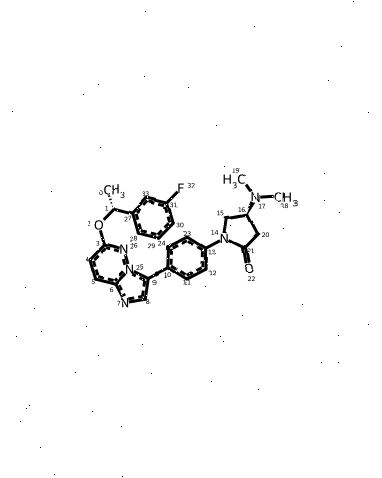 C[C@@H](Oc1ccc2ncc(-c3ccc(N4C[C@@H](N(C)C)CC4=O)cc3)n2n1)c1cccc(F)c1